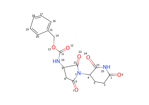 O=C1CCC(N2C(=O)CC(NC(=O)OCc3ccccc3)C2=O)C(=O)N1